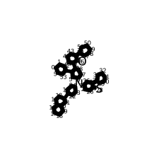 c1ccc(-c2cc(N(c3ccc(-c4ccc5ccccc5c4)cc3)c3ccc4sc5ccccc5c4c3)ccc2-c2cccc3c2oc2ccccc23)cc1